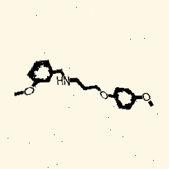 COc1ccc(OCCCNCc2cccc(OC)c2)cc1